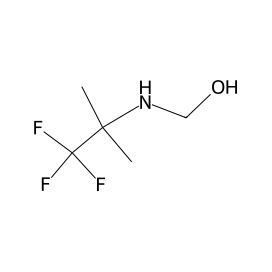 CC(C)(NCO)C(F)(F)F